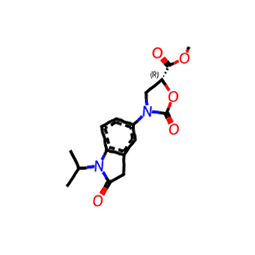 COC(=O)[C@H]1CN(c2ccc3c(c2)CC(=O)N3C(C)C)C(=O)O1